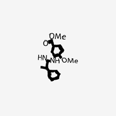 COC(=O)c1ccc(OC)c(NC(=N)C(C)c2ccccc2)c1